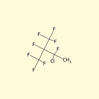 CC(F)(Cl)C(F)(C(F)(F)F)C(F)(F)F